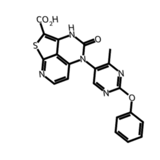 Cc1nc(Oc2ccccc2)ncc1N1C(=O)Nc2c(C(=O)O)sc3nccc1c23